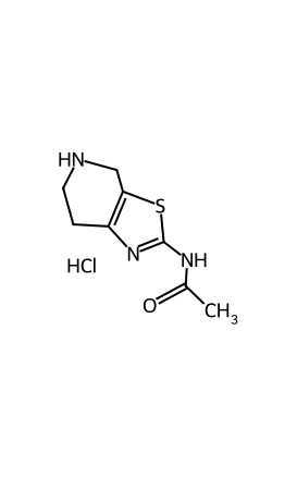 CC(=O)Nc1nc2c(s1)CNCC2.Cl